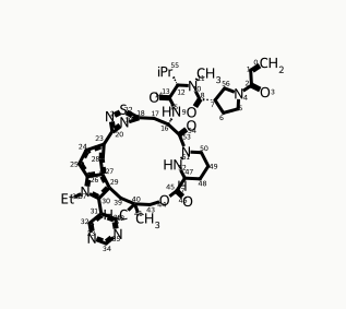 C=CC(=O)N1CC[C@H](C(=O)N(C)[C@H](C(=O)N[C@H]2Cc3nc(ns3)-c3ccc4c(c3)c(c(-c3cncnc3)n4CC)CC(C)(C)COC(=O)[C@@H]3CCCN(N3)C2=O)C(C)C)C1